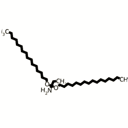 CCCCCCCCCCCCCCCCOC(N)(CC)OCCCCCCCCCCCCCCCC